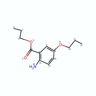 CCCOC(=O)c1cc(OCCC)ccc1N